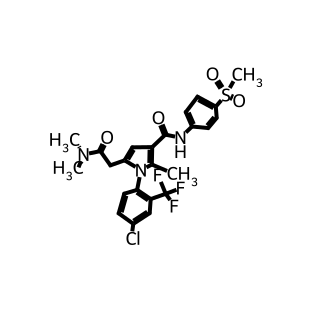 Cc1c(C(=O)Nc2ccc(S(C)(=O)=O)cc2)cc(CC(=O)N(C)C)n1-c1ccc(Cl)cc1C(F)(F)F